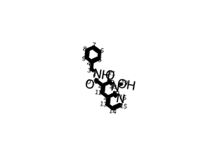 O=C(NCc1ccccc1)c1cc2cccnc2n(O)c1=O